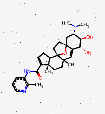 Cc1ncccc1NC(=O)C1=CCC2[C@@]34CC[C@]5(C[C@H](N(C)C)[C@@H](O)[C@H](O)C5=CC3(C#N)CC[C@]12C)O4